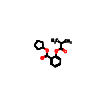 CC(C)C(=O)Oc1ccccc1C(=O)OC1CCCC1